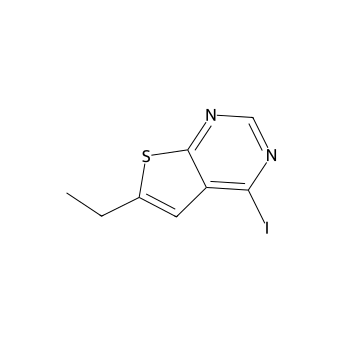 CCc1cc2c(I)ncnc2s1